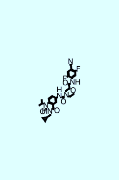 CC(C)N(C=O)c1ccc(NC(=O)N2CCOC(C(=O)Nc3cc(F)c(C#N)cc3F)C2)cc1C(=O)NCC1CC1